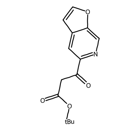 CC(C)(C)OC(=O)CC(=O)c1cc2ccoc2cn1